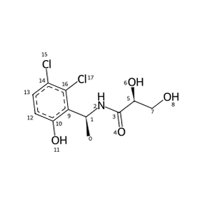 C[C@H](NC(=O)[C@@H](O)CO)c1c(O)ccc(Cl)c1Cl